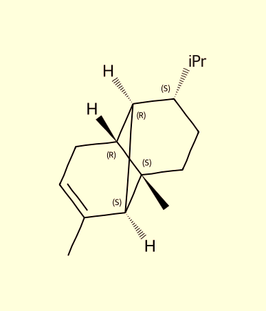 CC1=CC[C@@H]2[C@H]3[C@H](C(C)C)CC[C@]2(C)[C@@H]13